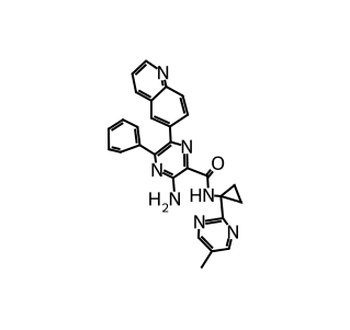 Cc1cnc(C2(NC(=O)c3nc(-c4ccc5ncccc5c4)c(-c4ccccc4)nc3N)CC2)nc1